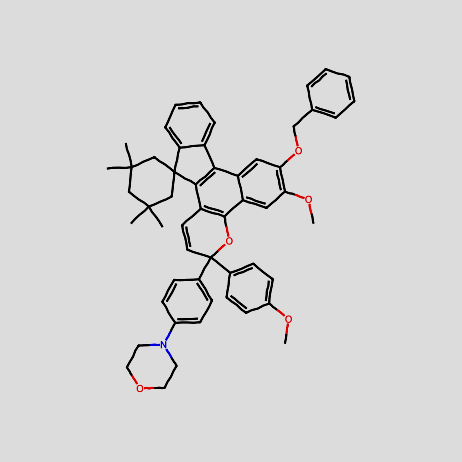 COc1ccc(C2(c3ccc(N4CCOCC4)cc3)C=Cc3c4c(c5cc(OCc6ccccc6)c(OC)cc5c3O2)-c2ccccc2C42CC(C)(C)CC(C)(C)C2)cc1